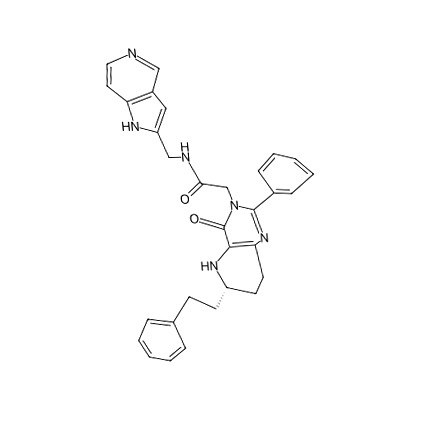 O=C(Cn1c(-c2ccccc2)nc2c(c1=O)N[C@@H](CCc1ccccc1)CC2)NCc1cc2cnccc2[nH]1